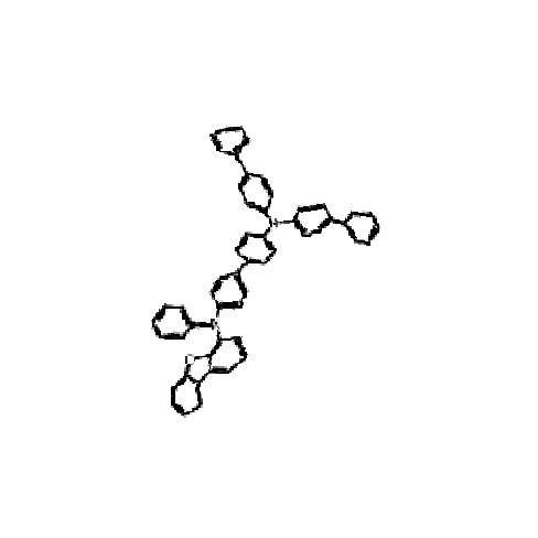 c1ccc(-c2ccc(N(c3ccc(-c4ccccc4)cc3)c3ccc(-c4ccc(N(c5ccccc5)c5cccc6c5oc5ccccc56)cc4)cc3)cc2)cc1